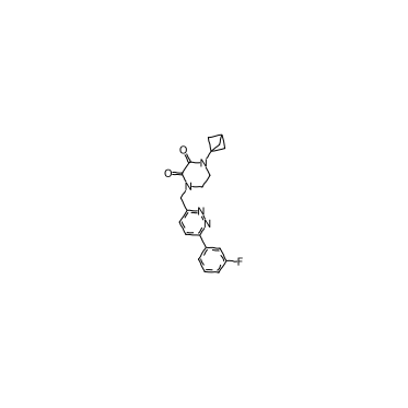 O=C1C(=O)N(C23CC(C2)C3)CCN1Cc1ccc(-c2cccc(F)c2)nn1